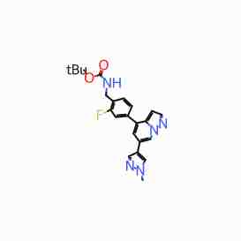 Cn1cc(-c2cc(-c3ccc(CNC(=O)OC(C)(C)C)c(F)c3)c3ccnn3c2)cn1